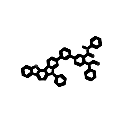 CN(C(=O)c1cc(-c2cccc(-c3ccc4c5c6oc7ccccc7c6ccc5n(-c5ccccc5)c4c3)c2)ccc1N(C=O)c1ccccc1)c1ccccc1